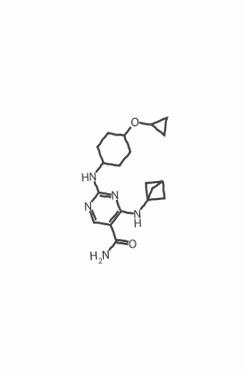 NC(=O)c1cnc(NC2CCC(OC3CC3)CC2)nc1NC12CC(C1)C2